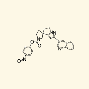 O=Nc1ccc(OC(=O)N2CCC3(CCn4nc(-c5cnc6ccccc6c5)cc43)C2)cc1